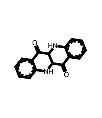 O=C1c2ccccc2NC2C(=O)c3ccccc3NC12